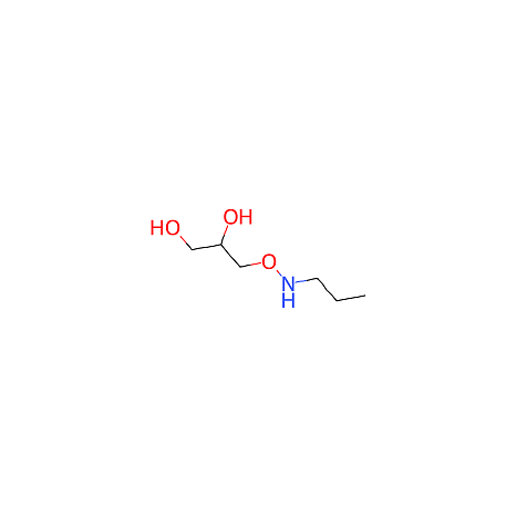 CCCNOCC(O)CO